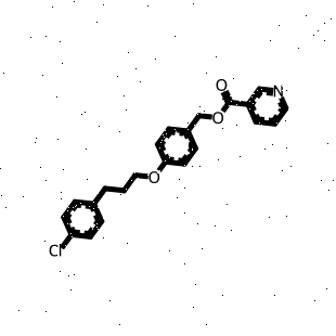 O=C(OCc1ccc(OCCCc2ccc(Cl)cc2)cc1)c1cccnc1